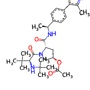 CC(=O)O[C@@H]1C[C@@H](C(=O)N[C@@H](C)c2ccc(-c3scnc3C)cc2)N(C(=O)[C@@H](NC(C)(C)C)C(C)(C)C)C1